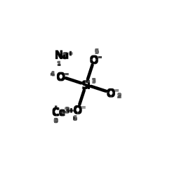 [Ce+3].[Na+].[O-][Si]([O-])([O-])[O-]